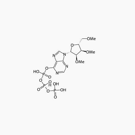 COC[C@H]1O[C@@H](n2cnc3c(OP(=O)(O)OP(=O)(O)OP(=O)(O)O)ncnc32)[C@H](OC)[C@@H]1OC